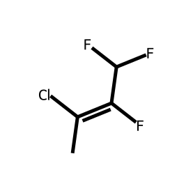 CC(Cl)=C(F)C(F)F